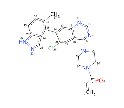 C=CC(=O)N1CCN(c2ncnc3cc(-c4c(C)ccc5[nH]ncc45)c(Cl)cc23)CC1